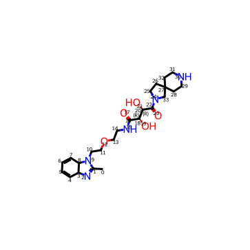 CC1=NC2C=CC=CC2N1CCOCCNC(=O)[C@H](O)[C@@H](O)C(=O)N1CCC2(CCNCC2)C1